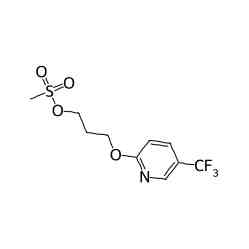 CS(=O)(=O)OCCCOc1ccc(C(F)(F)F)cn1